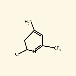 NC1=CC(C(F)(F)F)=NC(Cl)C1